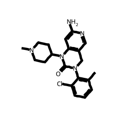 Cc1cccc(Cl)c1N1Cc2cnc(N)cc2N(C2CCN(C)CC2)C1=O